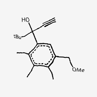 C#CC(O)(c1cc(COC)c(C)c(C)c1C)C(C)(C)C